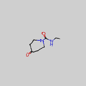 CCNC(=O)N1CCC(=O)CC1